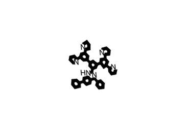 c1ccc(C2=NC(c3cc(-c4cc(-c5ccccn5)cc(-c5ccccn5)c4)cc(-c4cc(-c5ccccn5)cc(-c5ccccn5)c4)c3)Nc3cc(-c4ccccc4)ccc32)cc1